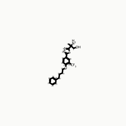 CC(N)(CO)c1nnc(-c2ccc(OCCCCc3ccccc3)c(C(F)(F)F)c2)s1